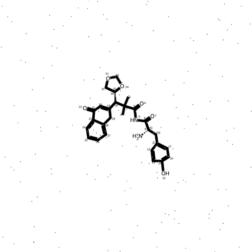 CC(C)(C(=O)NC(=O)[C@@H](N)Cc1ccc(O)cc1)C(C1=CC(=O)c2ccccc2C1)[C@H]1COCO1